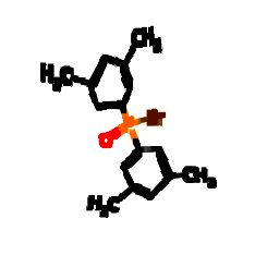 Cc1cc(C)cc(P(=O)(Br)c2cc(C)cc(C)c2)c1